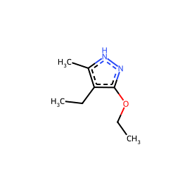 CCOc1n[nH]c(C)c1CC